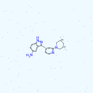 C[C@@H]1C[C@H](C)CN(c2cc(-c3n[nH]c4ccc(N)cc34)ccn2)C1